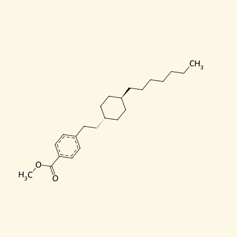 CCCCCCC[C@H]1CC[C@H](CCc2ccc(C(=O)OC)cc2)CC1